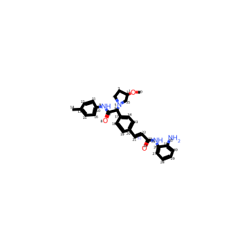 COC1CCN(C(C(=O)Nc2ccc(C)cc2)c2ccc(/C=C/C(=O)Nc3ccccc3N)cc2)C1